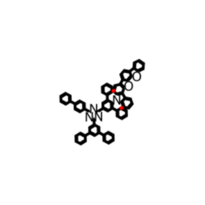 c1ccc(-c2ccc(-c3nc(-c4cc(-c5ccccc5)cc(-c5ccccc5)c4)nc(-c4cc(-c5ccccc5)c(-n5c6ccccc6c6c7oc8c(ccc9c%10ccccc%10oc98)c7ccc65)c(-c5ccccc5)c4)n3)cc2)cc1